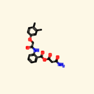 Cc1ccc(OCC(=O)Nc2ccccc2C(=O)OC(=O)CC(N)=O)cc1C